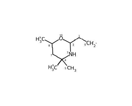 [CH2]CC1NC(C)(C)CC(C)O1